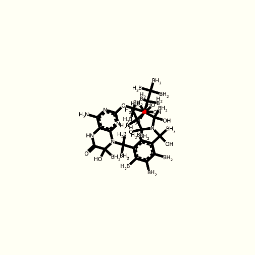 Bc1c(B)c(C(B)(B)N2c3nc(OC(B)(B)C(B)(O)C(B)(B)C(B)(B)B)nc(N)c3NC(=O)C2(B)O)c(B)c(C(B)(O)N2C(B)(O)C(B)(B)C(B)(O)C2(B)O)c1B